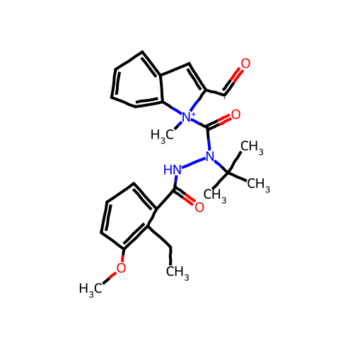 CCc1c(OC)cccc1C(=O)NN(C(=O)[N+]1(C)C([C]=O)=Cc2ccccc21)C(C)(C)C